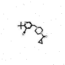 CC(C)(C)c1ncc(CN2CCN(C(=O)C3CC3)CC2)cc1C#N